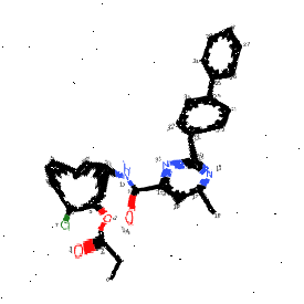 CCC(=O)Oc1c(Cl)cccc1NC(=O)c1cc(C)nc(-c2ccc(-c3ccccc3)cc2)n1